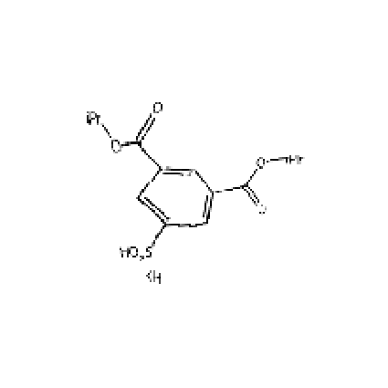 CC(C)OC(=O)c1cc(C(=O)OC(C)C)cc(S(=O)(=O)O)c1.[KH]